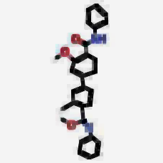 CO/C(=N\c1ccccc1)c1ccc(-c2ccc(C(=O)Nc3ccccc3)c(OC)c2)cc1C